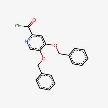 O=C(Cl)c1cc(OCc2ccccc2)c(OCc2ccccc2)cn1